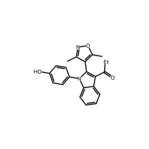 CCC(=O)c1c(-c2c(C)noc2C)n(-c2ccc(O)cc2)c2ccccc12